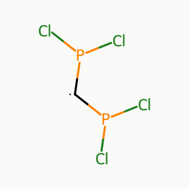 ClP(Cl)[CH]P(Cl)Cl